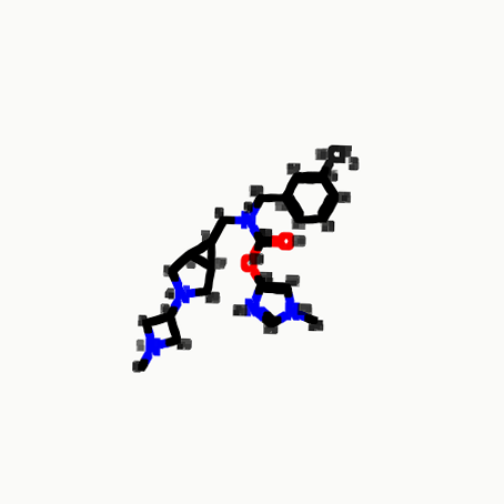 CN1CC(N2CC3C(CN(Cc4cccc(C(F)(F)F)c4)C(=O)Oc4cn(C)cn4)C3C2)C1